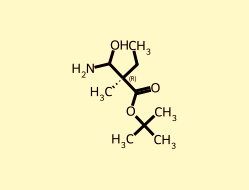 CC[C@@](C)(C(=O)OC(C)(C)C)C(N)O